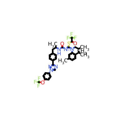 CCCN(/C(=N/C(=O)NC(C)Cc1ccc(-c2ncn(-c3ccc(OC(F)(F)F)cc3)n2)cc1)SC(=O)C(F)(F)F)c1cc(C)ccc1C(C)C